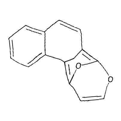 C1=Cc2oc(c3ccc4ccccc4c23)O1